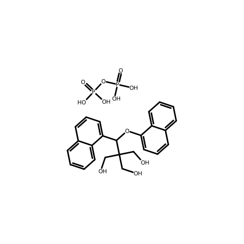 O=P(O)(O)OP(=O)(O)O.OCC(CO)(CO)C(Oc1cccc2ccccc12)c1cccc2ccccc12